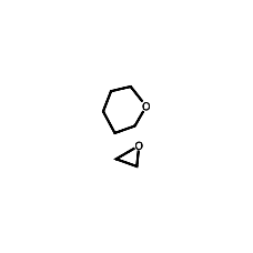 C1CCOCC1.C1CO1